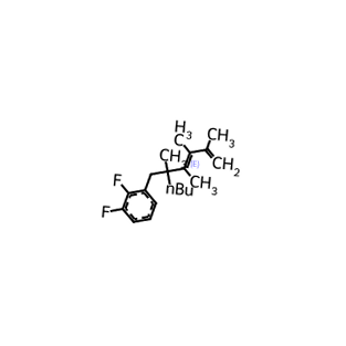 C=C(C)/C(C)=C(\C)C(C)(CCCC)Cc1cccc(F)c1F